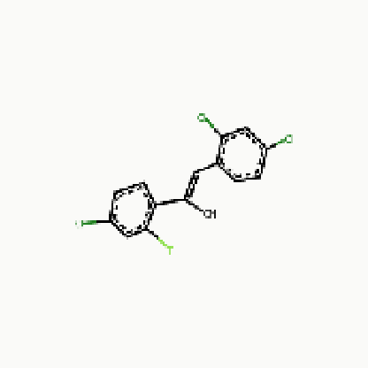 N#C/C(=C\c1ccc(Cl)cc1Cl)c1ccc(Cl)cc1F